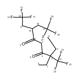 CCC(CC)(C(=O)CC(=O)C(CC(F)(F)F)CC(F)(F)F)C(F)(F)F